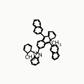 CC1C=CC=CC1n1c(-c2ccc3c(c2)=C(c2ccc4ccccc4c2)C2(C)CC=CC=C2C=3c2ccc3ccccc3c2)nc2ccccc21